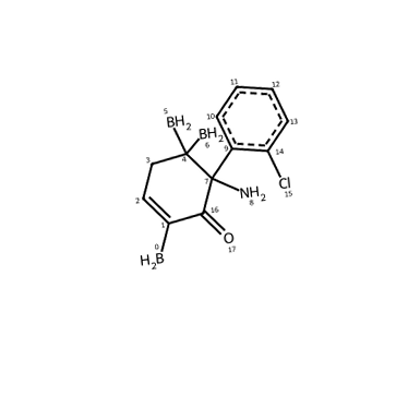 BC1=CCC(B)(B)C(N)(c2ccccc2Cl)C1=O